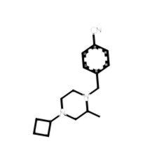 CC1CN(C2CCC2)CCN1Cc1ccc(C#N)cc1